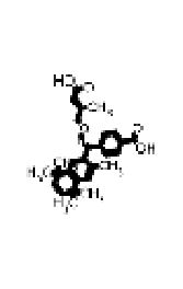 C/C(=C\C(=O)O)CO/N=C(\c1ccc(C(=O)O)cc1)c1cc2c(cc1C)C(C)(C)CCC2(C)C